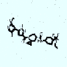 CCOC1(C(F)(F)F)CCC(NC(=O)[C@H]2CCN(C(=O)c3cc(-c4cc(OC)ncc4F)[nH]n3)C3(CC3)C2)CC1